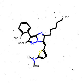 CCCCCCCCCCCCCCCc1nc2c(-c3ccccc3OC)c(OC)nn2/c1=C\c1ccc(N(CC)CCCC)s1